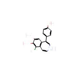 Oc1ccc(C2=CNC=Cc3c2cc(O)c(O)c3Cl)cc1